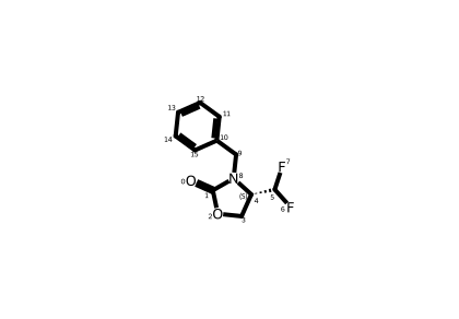 O=C1OC[C@@H](C(F)F)N1Cc1ccccc1